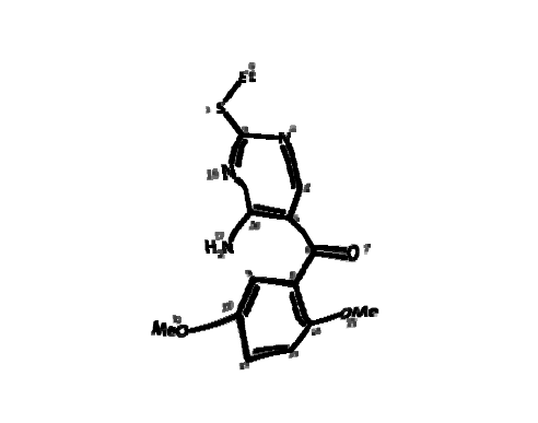 CCSc1ncc(C(=O)c2cc(OC)ccc2OC)c(N)n1